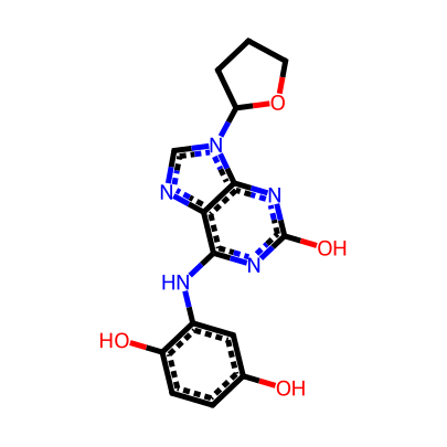 Oc1ccc(O)c(Nc2nc(O)nc3c2ncn3C2CCCO2)c1